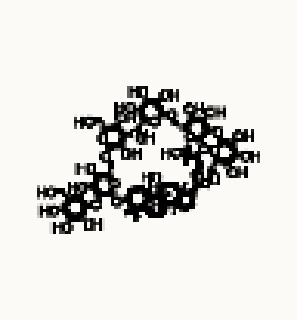 C[C@H](CCC(O[C@@H]1O[C@H](CO[C@@H]2O[C@H](CO)[C@@H](O)[C@H](O)[C@H]2O)[C@@H](O)[C@H](O)[C@H]1O[C@@H]1O[C@H](CO)[C@@H](O)[C@H](O)[C@H]1O)C(C)(C)O)[C@H]1CC[C@@]2(C)[C@@H]3CC=C4[C@@H](CC[C@H](O[C@@H]5O[C@H](CO[C@@H]6O[C@H](CO)[C@@H](O)[C@H](O)[C@H]6O)[C@@H](O)[C@H](O)[C@H]5O[C@@H]5C[C@H](CO)[C@@H](O)[C@H](O)[C@H]5O)C4(C)C)[C@]3(C)[C@H](O)C[C@]12C